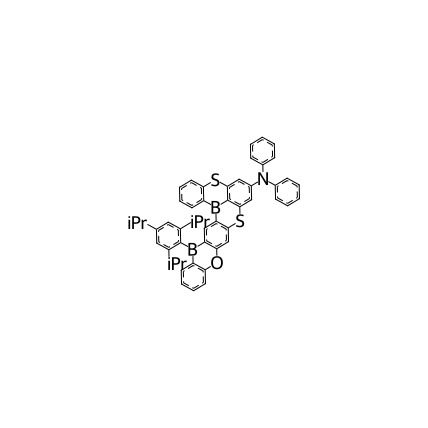 CC(C)c1cc(C(C)C)c(B2c3ccccc3Oc3cc4c(cc32)B2c3ccccc3Sc3cc(N(c5ccccc5)c5ccccc5)cc(c32)S4)c(C(C)C)c1